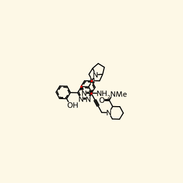 CNC(=O)C1CCCCN1CC#Cc1cc(N2C3CCC2CN(c2cc(-c4ccccc4O)nnc2N)C3)ccn1